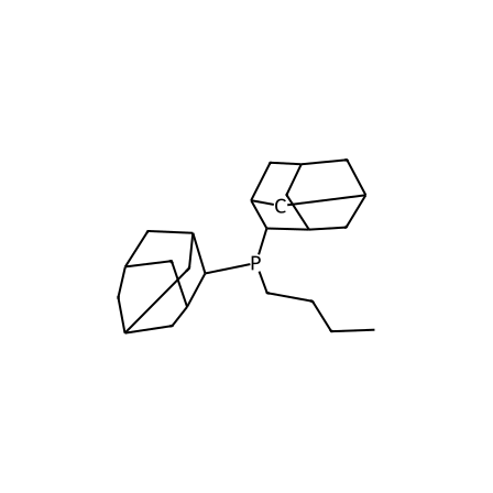 CCCCP(C1C2CC3CC(C2)CC1C3)C1C2CC3CC(C2)CC1C3